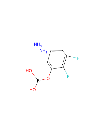 N.N.OB(O)Oc1cccc(F)c1F